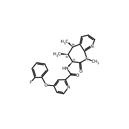 C[C@@H]1[C@H](NC(=O)c2cc(Oc3ccccc3F)ccn2)C(=O)N(C)c2ncccc2[C@@H]1C